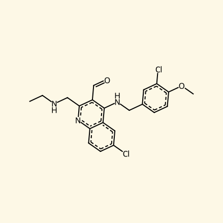 CCNCc1nc2ccc(Cl)cc2c(NCc2ccc(OC)c(Cl)c2)c1C=O